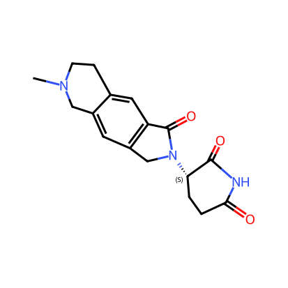 CN1CCc2cc3c(cc2C1)CN([C@H]1CCC(=O)NC1=O)C3=O